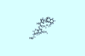 C=C(/C=C(\N=C(\C)N)N1CCN(CCO)CC1)Nc1ncc(C(=O)Nc2c(C)cccc2Cl)s1